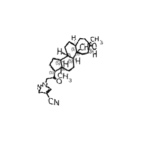 C[C@]1(O)CC[C@@H]2CC[C@@H]3[C@H](CC[C@]4(C)[C@@H](C(=O)Cn5cc(C#N)cn5)CC[C@@H]34)[C@@]2(C)CC1